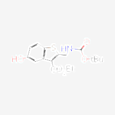 CCOC(=O)c1c(CNC(=O)OC(C)(C)C)sc2ccc(O)cc12